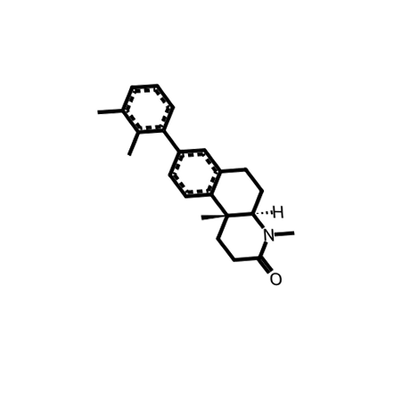 Cc1cccc(-c2ccc3c(c2)CC[C@H]2N(C)C(=O)CC[C@]32C)c1C